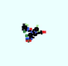 CC1N=C(NS(C)(=O)=O)c2c(Cl)ccc(-c3ccc(C#CC(C)(C)O)nc3[C@H](Cc3cc(F)cc(F)c3)NC(=O)Cn3nc4c(c3Cl)[C@H]3C[C@H]3C4(F)F)c21